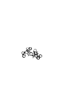 c1ccc2c(c1)Sc1cc3oc4ccccc4c3c3c1B2c1cc2c(cc1S3)Sc1cc3oc4ccccc4c3c3c1B2c1ccccc1S3